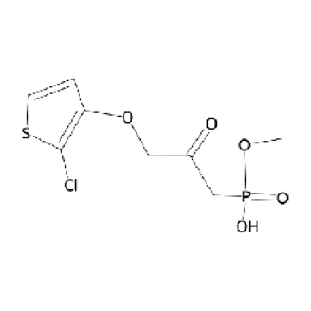 COP(=O)(O)CC(=O)COc1ccsc1Cl